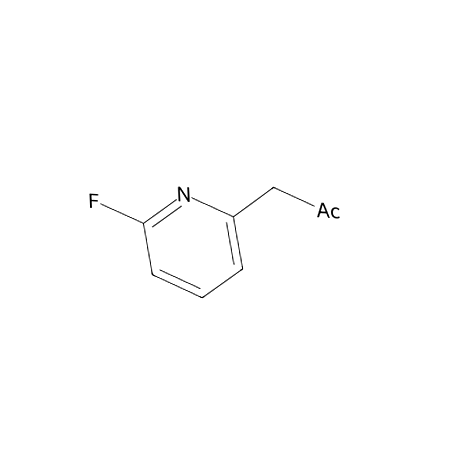 CC(=O)Cc1cccc(F)n1